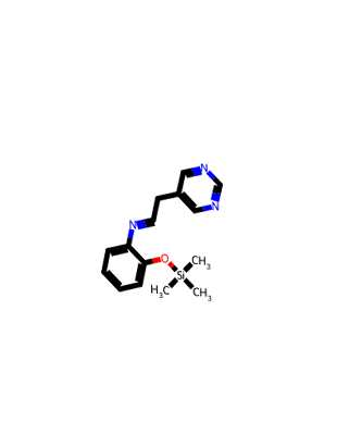 C[Si](C)(C)Oc1ccccc1N=CCc1cncnc1